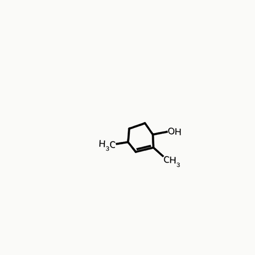 CC1=CC(C)CCC1O